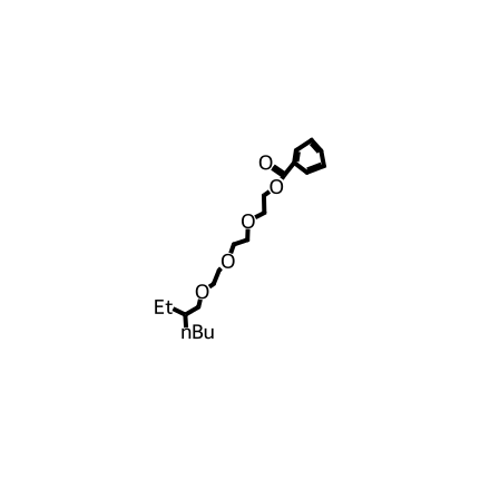 CCCCC(CC)COCCOCCOCCOC(=O)c1ccccc1